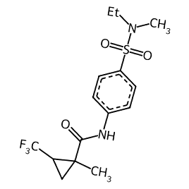 CCN(C)S(=O)(=O)c1ccc(NC(=O)C2(C)CC2C(F)(F)F)cc1